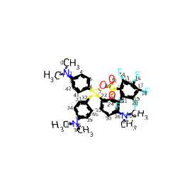 CN(C)c1ccc(S(OS(=O)(=O)c2c(F)c(F)c(F)c(F)c2F)(c2ccc(N(C)C)cc2)c2ccc(N(C)C)cc2)cc1